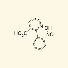 O=C(O)c1cccnc1-c1ccccc1.O=NO